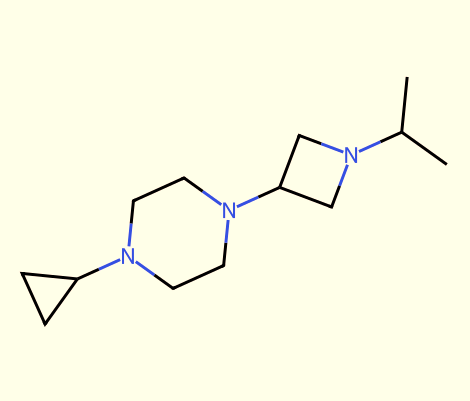 CC(C)N1CC(N2CCN(C3CC3)CC2)C1